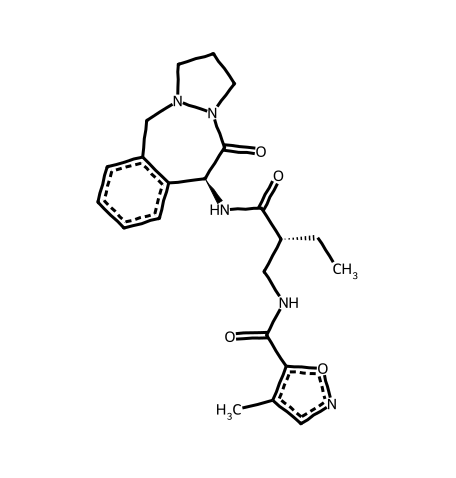 CC[C@H](CNC(=O)c1oncc1C)C(=O)N[C@@H]1C(=O)N2CCCN2Cc2ccccc21